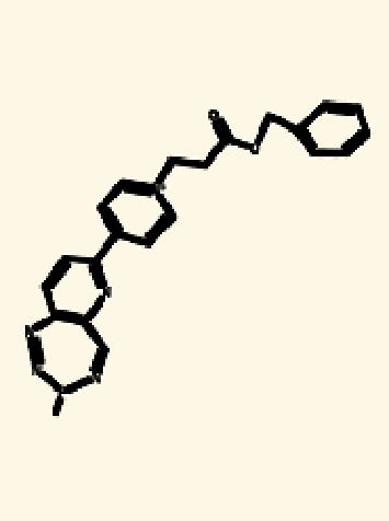 CP1N=Cc2nc(-c3cc[n+](CCC(=O)OCc4ccccc4)cc3)ccc2N=N1